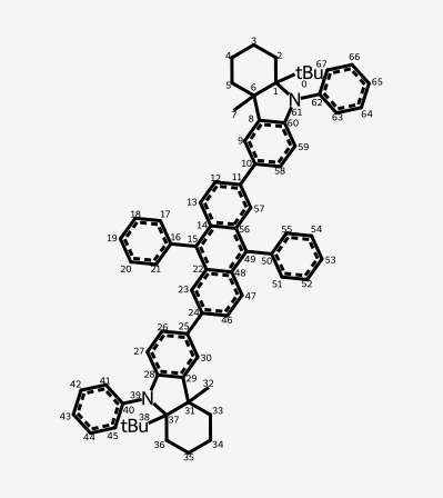 CC(C)(C)C12CCCCC1(C)c1cc(-c3ccc4c(-c5ccccc5)c5cc(-c6ccc7c(c6)C6(C)CCCCC6(C(C)(C)C)N7c6ccccc6)ccc5c(-c5ccccc5)c4c3)ccc1N2c1ccccc1